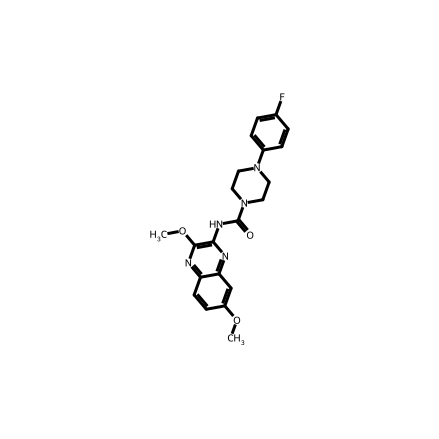 COc1ccc2nc(OC)c(NC(=O)N3CCN(c4ccc(F)cc4)CC3)nc2c1